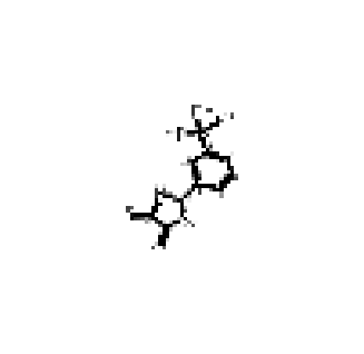 C=C1SC(c2cccc(C(F)(F)F)c2)N=C1C